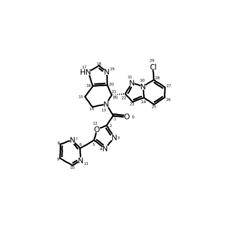 O=C(c1nnc(-c2ncccn2)o1)N1CCc2[nH]cnc2[C@@H]1c1cc2cccc(Cl)n2n1